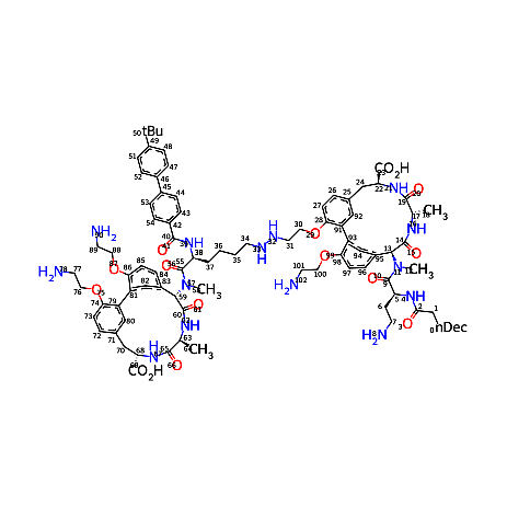 CCCCCCCCCCCC(=O)N[C@@H](CCN)C(=O)N(C)[C@@H]1C(=O)N[C@@H](C)C(=O)N[C@H](C(=O)O)Cc2ccc(OCCNNCCCC[C@H](NC(=O)c3ccc(-c4ccc(C(C)(C)C)cc4)cc3)C(=O)N(C)[C@@H]3C(=O)N[C@@H](C)C(=O)N[C@H](C(=O)O)Cc4ccc(OCCN)c(c4)-c4cc3ccc4OCCN)c(c2)-c2cc1ccc2OCCN